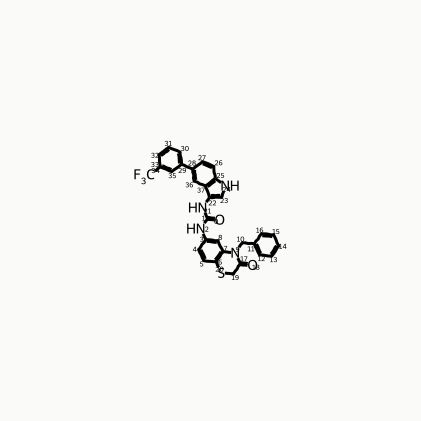 O=C(Nc1ccc2c(c1)N(Cc1ccccc1)C(=O)CS2)Nc1c[nH]c2ccc(-c3cccc(C(F)(F)F)c3)cc12